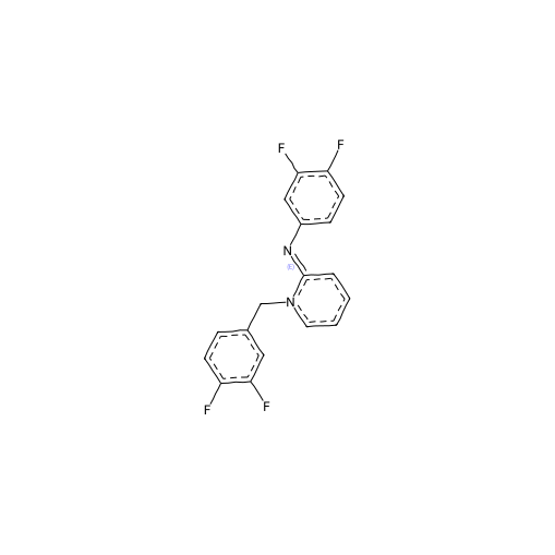 Fc1ccc(Cn2cccc/c2=N\c2ccc(F)c(F)c2)cc1F